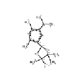 Cc1cc(C)c(C(C)C)cc1B1OC(C)(C)C(C)(C)O1